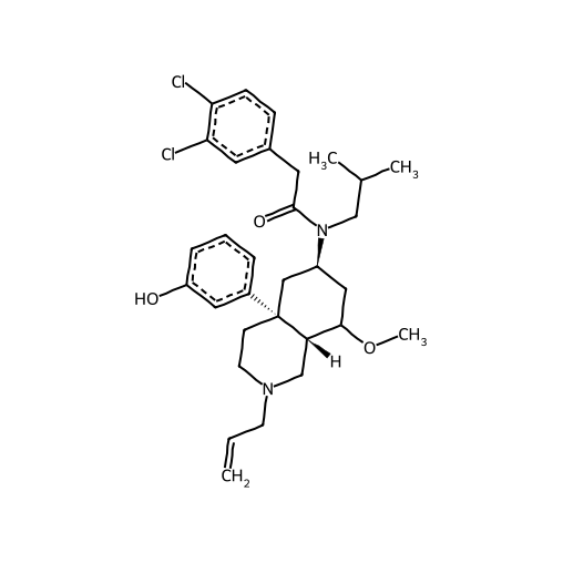 C=CCN1CC[C@@]2(c3cccc(O)c3)C[C@@H](N(CC(C)C)C(=O)Cc3ccc(Cl)c(Cl)c3)CC(OC)[C@@H]2C1